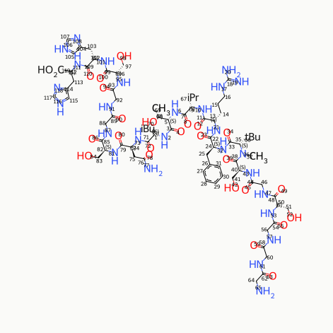 CC[C@H](C)[C@H](NC(=O)[C@@H](NC(=O)[C@@H](NC(=O)[C@H](CCCNC(=N)N)NC(=O)[C@H](Cc1ccccc1)NC(=O)[C@@H](N(C)C(=O)[C@H](CO)NC(=O)CNC(=O)[C@H](CO)NC(=O)CNC(=O)CNC(=O)CN)C(C)(C)C)C(C)C)[C@@H](C)O)C(=O)N[C@@H](CC(N)=O)C(=O)N[C@@H](CO)C(=O)NCC(=O)NCC(=O)N[C@@H](CO)C(=O)N[C@@H](Cc1c[nH]cn1)C(=O)N[C@@H](Cc1c[nH]cn1)C(=O)O